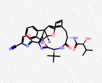 CC(C)[C@H](O)C(=O)N[C@H]1Cc2ccc3c(c2)C2(c4ccccc4N[C@H]2O3)c2oc(nc2-c2nc(C#N)co2)[C@H](C(C)(C)C)NC1=O